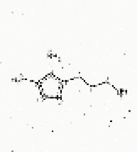 Nc1snc(CCCO)c1N